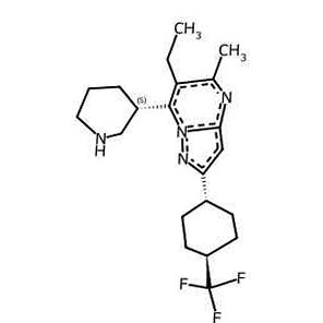 CCc1c(C)nc2cc([C@H]3CC[C@H](C(F)(F)F)CC3)nn2c1[C@H]1CCCNC1